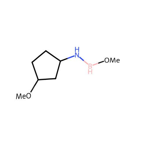 COBNC1CCC(OC)C1